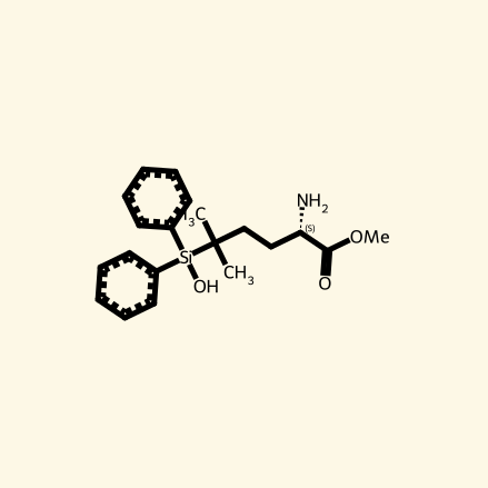 COC(=O)[C@@H](N)CCC(C)(C)[Si](O)(c1ccccc1)c1ccccc1